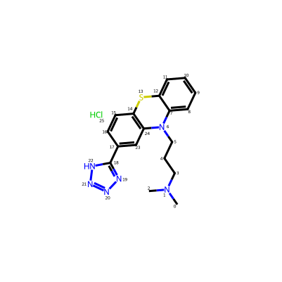 CN(C)CCCN1c2ccccc2Sc2ccc(-c3nnn[nH]3)cc21.Cl